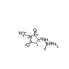 CN1C(=O)CC(NB(P)I)C1=O